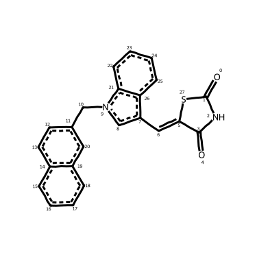 O=C1NC(=O)/C(=C/c2cn(Cc3ccc4ccccc4c3)c3ccccc23)S1